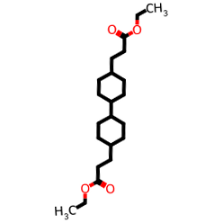 CCOC(=O)CCC1CCC(C2CCC(CCC(=O)OCC)CC2)CC1